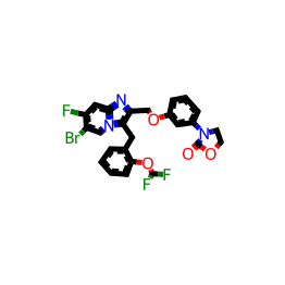 O=C1OCCN1c1cccc(OCc2nc3cc(F)c(Br)cn3c2Cc2ccccc2OC(F)F)c1